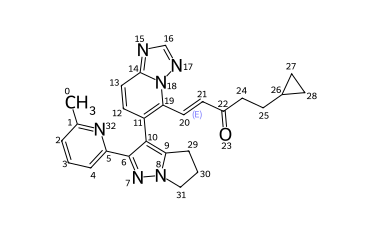 Cc1cccc(-c2nn3c(c2-c2ccc4ncnn4c2/C=C/C(=O)CCC2CC2)CCC3)n1